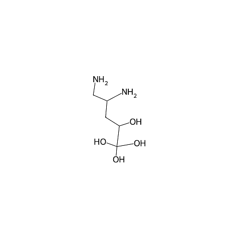 NCC(N)CC(O)C(O)(O)O